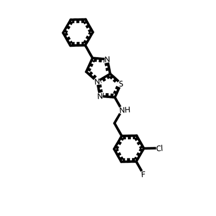 Fc1ccc(CNc2nn3cc(-c4ccccc4)nc3s2)cc1Cl